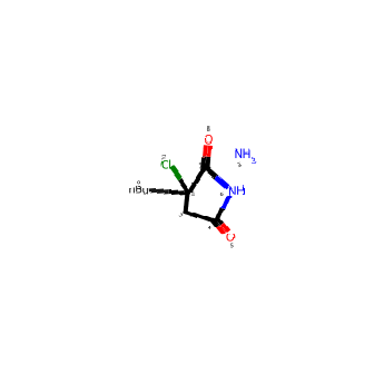 CCCCC1(Cl)CC(=O)NC1=O.N